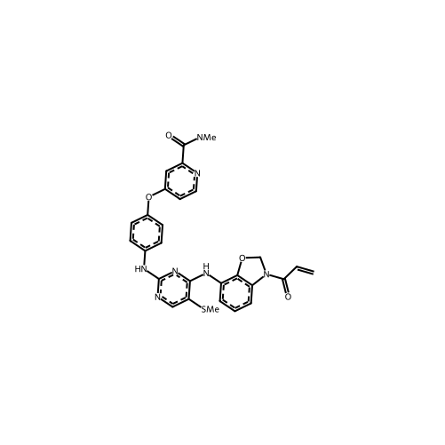 C=CC(=O)N1COc2c(Nc3nc(Nc4ccc(Oc5ccnc(C(=O)NC)c5)cc4)ncc3SC)cccc21